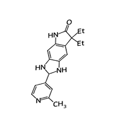 CCC1(CC)C(=O)Nc2cc3c(cc21)NC(c1ccnc(C)c1)N3